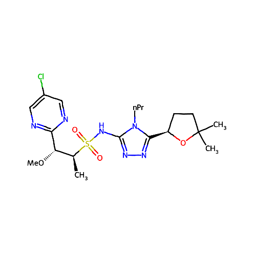 CCCn1c(NS(=O)(=O)[C@@H](C)[C@H](OC)c2ncc(Cl)cn2)nnc1[C@H]1CCC(C)(C)O1